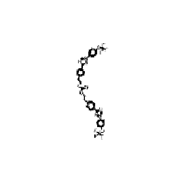 O=C(OCCc1ccc(-c2ncn(-c3ccc(OC(F)(F)F)cc3)n2)cc1)OCCc1ccc(-c2ncn(-c3ccc(OC(F)(F)F)cc3)n2)cc1